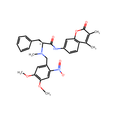 COc1cc(CN(C)[C@@H](Cc2ccccc2)C(=O)Nc2ccc3c(C)c(C)c(=O)oc3c2)c([N+](=O)[O-])cc1OC